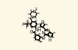 Cc1ccc(C(=O)Nc2ccc(CN3CCN(C)CC3)c(C(F)(F)F)c2)cc1Oc1nc(-c2ccoc2)nc2cc[nH]c12